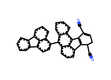 N#CC1=CCC(C#N)C2=C1c1c3ccccc3c(-c3ccc4c5c(cccc35)-c3ccccc3-4)c3cccc2c13